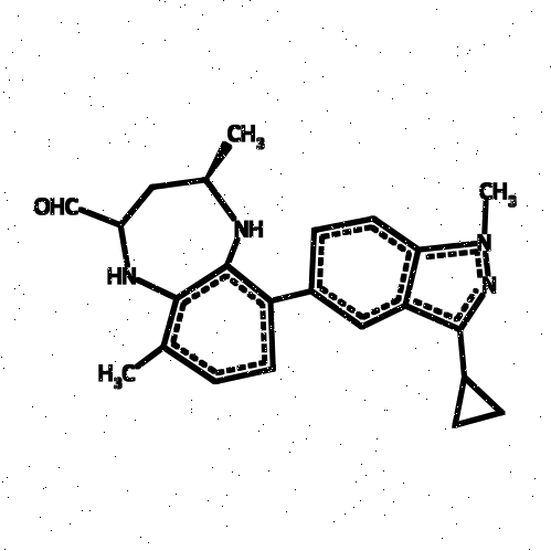 Cc1ccc(-c2ccc3c(c2)c(C2CC2)nn3C)c2c1NC(C=O)C[C@@H](C)N2